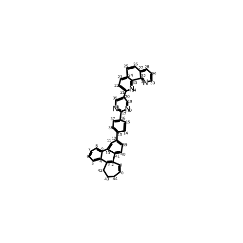 C1=Cc2c(c3ccccc3c3cc(-c4ccc(-c5ncc(-c6ccc7ccc8cccnc8c7n6)cn5)cc4)ccc23)CCC1